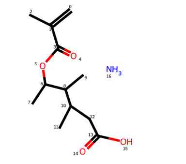 C=C(C)C(=O)OC(C)C(C)C(C)CC(=O)O.N